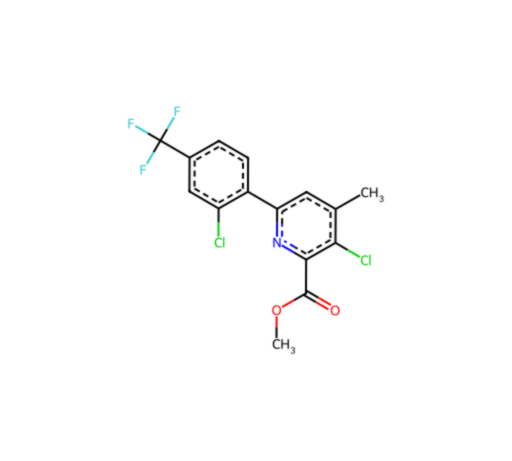 COC(=O)c1nc(-c2ccc(C(F)(F)F)cc2Cl)cc(C)c1Cl